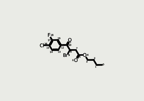 CCCCOC(=O)CC(Br)C(=O)c1ccc(Cl)c(F)c1